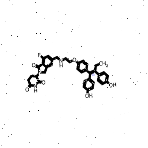 CC/C(=C(/c1ccc(O)cc1)c1ccc(OCCNCc2cc(F)c3c(c2)CN(C2CCC(=O)NC2=O)C3=O)cc1)c1ccc(O)cc1